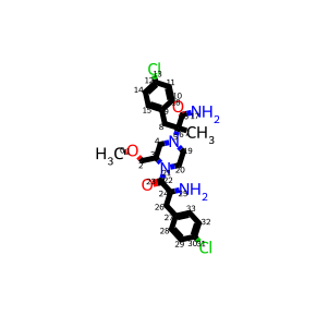 COCC1CN(C(C)(Cc2ccc(Cl)cc2)C(N)=O)CCN1C(=O)C(N)Cc1ccc(Cl)cc1